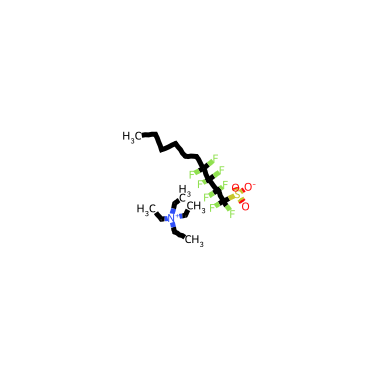 CCCCCCC(F)(F)C(F)(F)C(F)(F)C(F)(F)S(=O)(=O)[O-].CC[N+](CC)(CC)CC